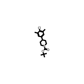 Cc1cc(C2CCN(C(=O)OC(C)(C)C)CC2)cc(C)c1Cl